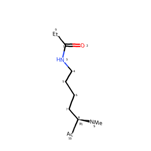 CCC(=O)NCCCC[C@@H](NC)C(C)=O